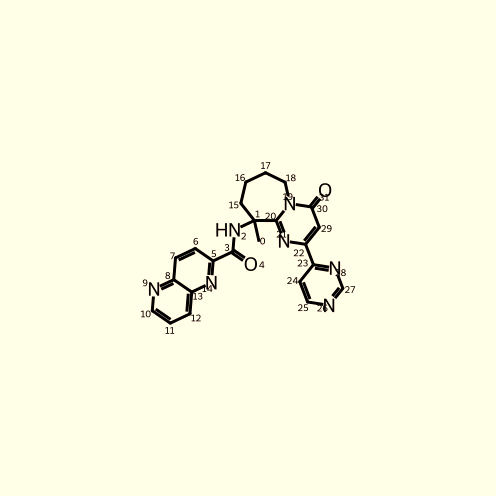 CC1(NC(=O)c2ccc3ncccc3n2)CCCCn2c1nc(-c1ccncn1)cc2=O